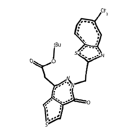 CC(C)(C)OC(=O)Cc1nn(Cc2nc3cc(C(F)(F)F)ccc3s2)c(=O)c2cscc12